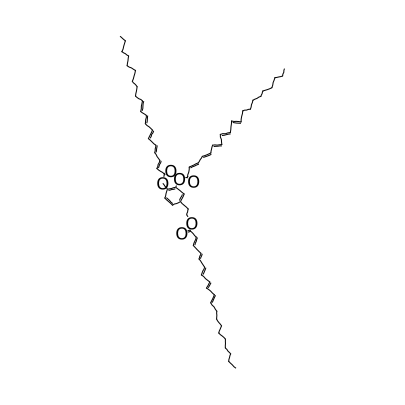 CCCCCCCCCC=CC=CC=CC=CC=CC(=O)OCCc1ccc(OC(=O)C=CC=CC=CC=CC=CCCCCCCCCC)c(OC(=O)C=CC=CC=CC=CC=CCCCCCCCCC)c1